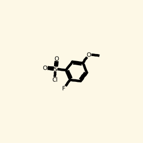 COc1ccc(F)c(S(=O)(=O)Cl)c1